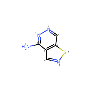 Nc1nncc2sncc12